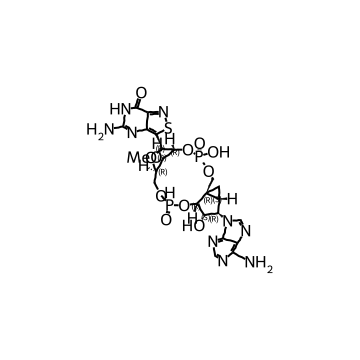 CO[C@H]1[C@H]2OP(=O)(O)OC[C@@]34C[C@@H]3[C@@H](n3cnc5c(N)ncnc53)[C@H](O)[C@@H]4O[PH](=O)OC[C@H]1O[C@H]2c1snc2c(=O)[nH]c(N)nc12